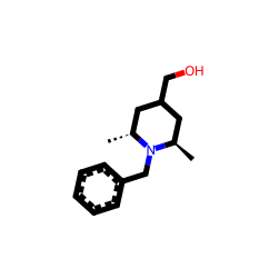 C[C@@H]1CC(CO)C[C@@H](C)N1Cc1ccccc1